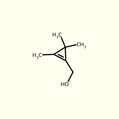 CC1=C(CO)C1(C)C